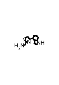 NCc1nccc(-c2cccc3[nH]ccc23)n1